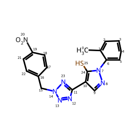 Cc1ccccc1-n1ncc(-c2nnn(Cc3ccc([N+](=O)[O-])cc3)n2)c1S